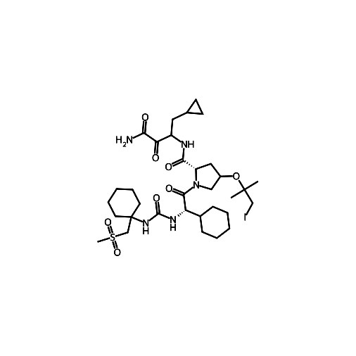 CC(C)(CI)OC1C[C@@H](C(=O)NC(CC2CC2)C(=O)C(N)=O)N(C(=O)[C@@H](NC(=O)NC2(CS(C)(=O)=O)CCCCC2)C2CCCCC2)C1